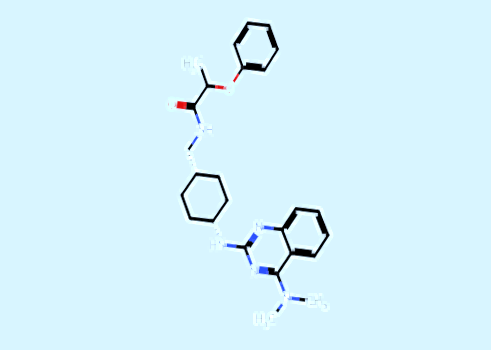 CC(Oc1ccccc1)C(=O)NC[C@H]1CC[C@@H](Nc2nc(N(C)C)c3ccccc3n2)CC1